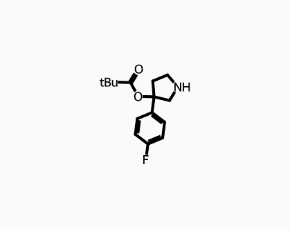 CC(C)(C)C(=O)OC1(c2ccc(F)cc2)CCNC1